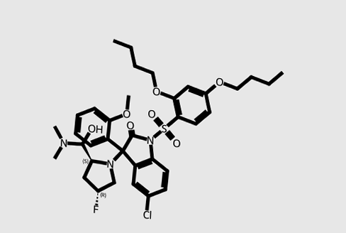 CCCCOc1ccc(S(=O)(=O)N2C(=O)C(c3ccccc3OC)(N3C[C@H](F)C[C@H]3C(O)N(C)C)c3cc(Cl)ccc32)c(OCCCC)c1